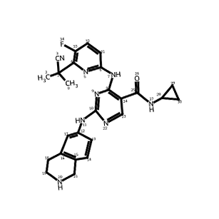 CC(C)(C#N)c1nc(Nc2nc(Nc3ccc4c(c3)CCNC4)ncc2C(=O)NC2CC2)ccc1F